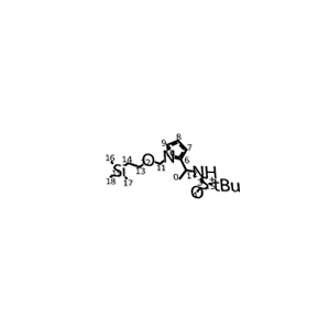 CC(N[S+]([O-])C(C)(C)C)c1cccn1COCC[Si](C)(C)C